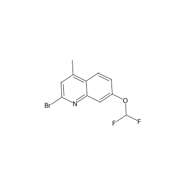 Cc1cc(Br)nc2cc(OC(F)F)ccc12